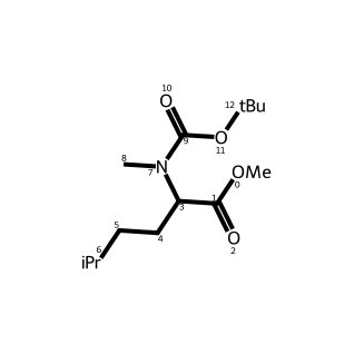 COC(=O)C(CCC(C)C)N(C)C(=O)OC(C)(C)C